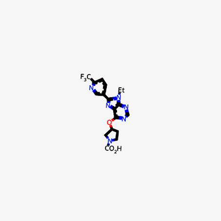 CCn1c(-c2ccc(C(F)(F)F)nc2)nc2c(OC3CCN(C(=O)O)C3)ncnc21